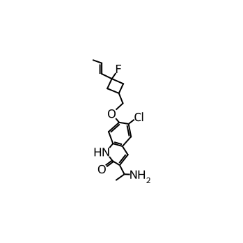 C/C=C/C1(F)CC(COc2cc3[nH]c(=O)c(C(C)N)cc3cc2Cl)C1